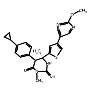 COc1ncc(-c2csc([C@@]3(C)NC(=N)N(C)C(=O)C3c3ccc(C4CC4)cc3)c2)cn1